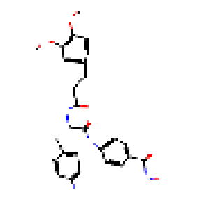 COc1ccc(CCC(=O)N[C@@H](Cc2ccc(N)cc2)C(=O)Nc2ccc(C(=O)NO)cc2)cc1OC